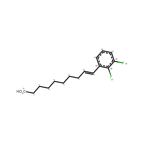 O=C(O)CCCCCCC/C=C/c1cccc(F)c1F